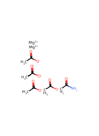 CC(=O)[O-].CC(=O)[O-].CC(=O)[O-].CC(=O)[O-].CC(N)=O.[Mg+2].[Mg+2]